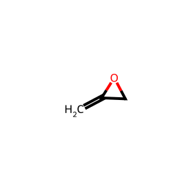 C=C1CO1